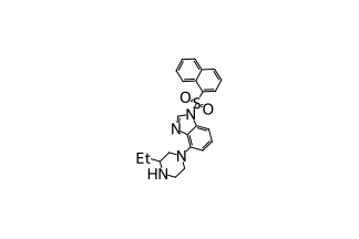 CCC1CN(c2cccc3c2ncn3S(=O)(=O)c2cccc3ccccc23)CCN1